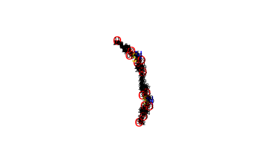 O=C(Oc1ccc(CCC2CO2)cc1)c1cnc(C(=O)Oc2ccc(OCCCCCc3ccc(OC(=O)c4cnc(C(=O)Oc5ccc(OCC6CO6)cc5)s4)cc3)cc2)s1